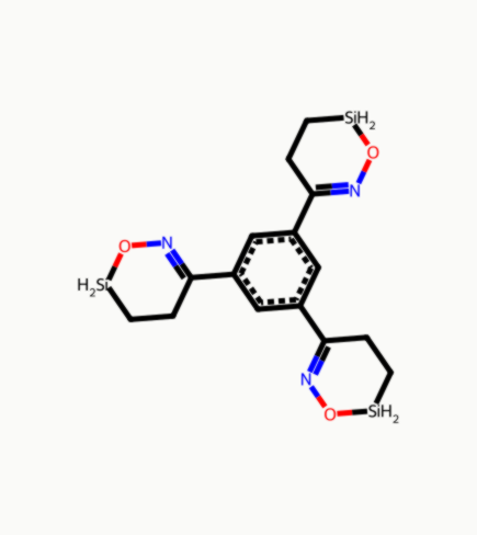 c1c(C2=NO[SiH2]CC2)cc(C2=NO[SiH2]CC2)cc1C1=NO[SiH2]CC1